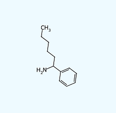 CCCCCC(N)c1ccccc1